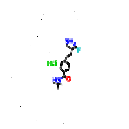 CC(C)(C)NC(=O)c1ccc(/C=C/C(=C\F)CN)cc1.Cl